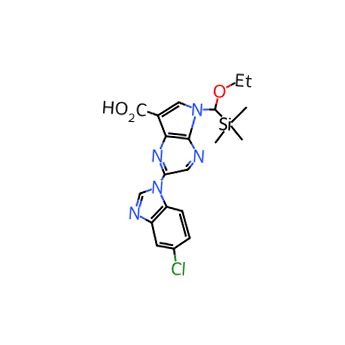 CCOC(n1cc(C(=O)O)c2nc(-n3cnc4cc(Cl)ccc43)cnc21)[Si](C)(C)C